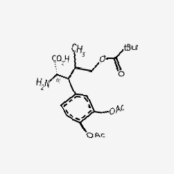 CC(=O)Oc1ccc(C(C(C)COC(=O)C(C)(C)C)[C@H](N)C(=O)O)cc1OC(C)=O